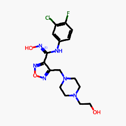 OCCN1CCN(Cc2nonc2/C(=N\O)Nc2ccc(F)c(Cl)c2)CC1